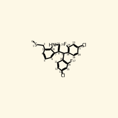 CSCc1cccc2c(C(c3ccc(Cl)cc3F)c3ccc(Cl)cc3F)c[nH]c12